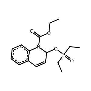 CCOC(=O)N1c2ccccc2C=CC1OP(=O)(CC)CC